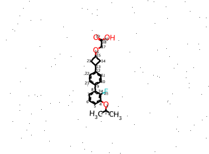 CC(C)Oc1cccc(-c2ccc(C3CC(OCC(=O)O)C3)cc2)c1F